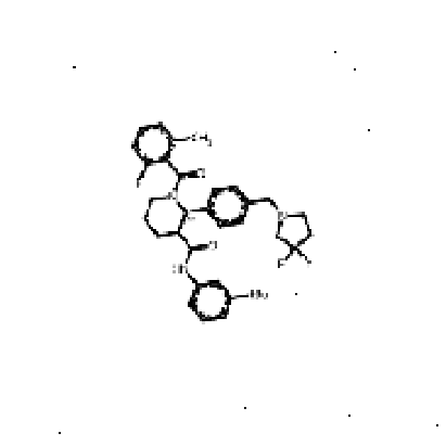 Cc1cccc(F)c1C(=O)N1CCCC(C(=O)Nc2cccc(C(C)(C)C)c2)[C@@H]1c1ccc(CN2CCC(F)(F)C2)cc1